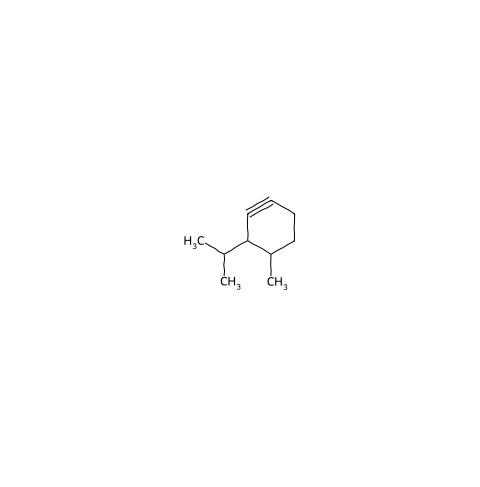 CC(C)C1C#CCCC1C